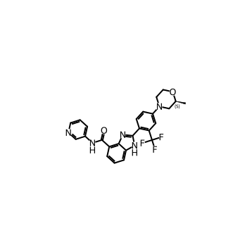 C[C@H]1CN(c2ccc(-c3nc4c(C(=O)Nc5cccnc5)cccc4[nH]3)c(C(F)(F)F)c2)CCO1